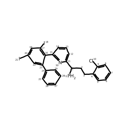 PC(CCc1ccccc1Cl)c1cccc(-c2c(I)cc(I)cc2-c2ccccc2)n1